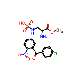 COC(=O)C(N)CNS(=O)(=O)O.Cl.O=C(c1ccccc1)c1ccccc1[N+](=O)[O-]